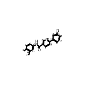 Cc1ccc(NC(=O)c2ccc(-c3cccc(Cl)c3)nc2)cc1C